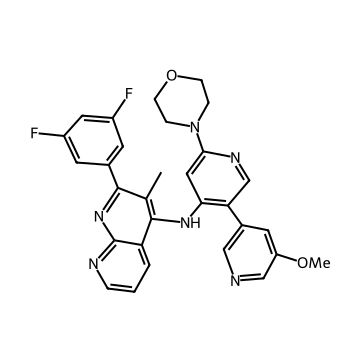 COc1cncc(-c2cnc(N3CCOCC3)cc2Nc2c(C)c(-c3cc(F)cc(F)c3)nc3ncccc23)c1